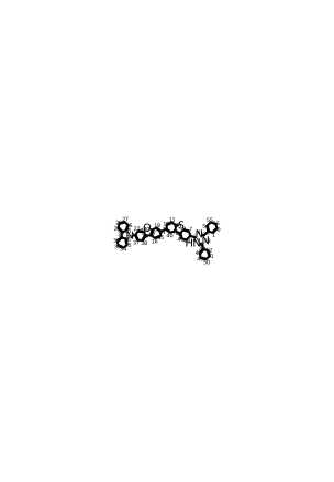 C1=CC(C2=NC(C3C=C4SC5C=CC(c6ccc7c(c6)oc6cc(-n8c9ccccc9c9ccccc98)ccc67)=CC5C4=CC3)NC(c3ccccc3)=N2)=CCC1